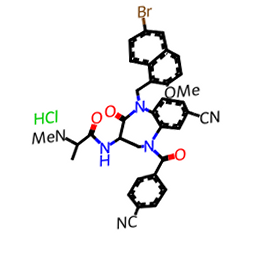 CNC(C)C(=O)NC1CN(C(=O)c2ccc(C#N)cc2)c2cc(C#N)ccc2N(Cc2c(OC)ccc3cc(Br)ccc23)C1=O.Cl